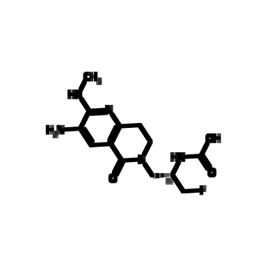 CNc1nc2c(cc1N)C(=O)N(C[C@@H](CF)NC(=O)O)CC2